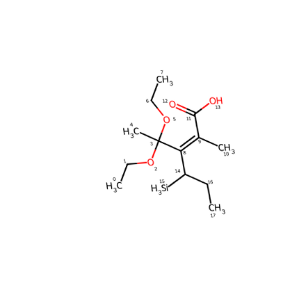 CCOC(C)(OCC)C(=C(C)C(=O)O)C([SiH3])CC